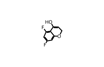 OC1=CCOc2cc(F)cc(F)c21